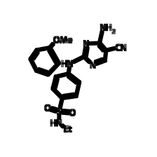 CCNS(=O)(=O)c1ccc(Nc2ncc(C#N)c(N)n2)cc1.COc1ccccc1